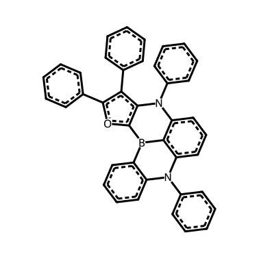 c1ccc(-c2oc3c(c2-c2ccccc2)N(c2ccccc2)c2cccc4c2B3c2ccccc2N4c2ccccc2)cc1